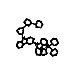 c1ccc(-c2cccc(-c3cccc(-n4c5ccccc5c5cc(-n6c7ccccc7c7c([Si](c8ccccc8)(c8ccccc8)c8ccccc8)cccc76)ccc54)c3)c2)cc1